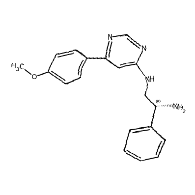 COc1ccc(-c2cc(NC[C@H](N)c3ccccc3)ncn2)cc1